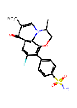 CCOC(=O)c1cn2c3c(c(-c4ccc(S(N)(=O)=O)cc4)c(F)cc3c1=O)OCC2C